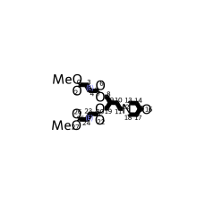 COC(=O)/C=C/C(=O)OCC(CCN1CCC(=O)CC1)COC(=O)/C=C/C(=O)OC